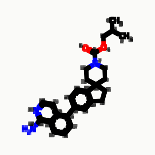 CC(C)COC(=O)N1CCC2(CCc3cc(-c4cccc5c(N)nccc45)ccc32)CC1